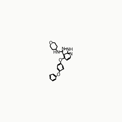 c1ccc(Oc2ccc(Oc3ccnc4[nH]nc(NC5CCOCC5)c34)cc2)cc1